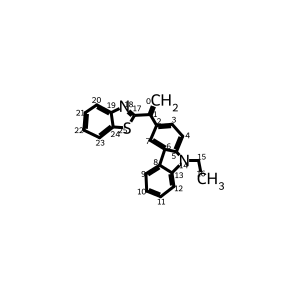 C=C(c1ccc2c(c1)c1ccccc1n2CC)c1nc2ccccc2s1